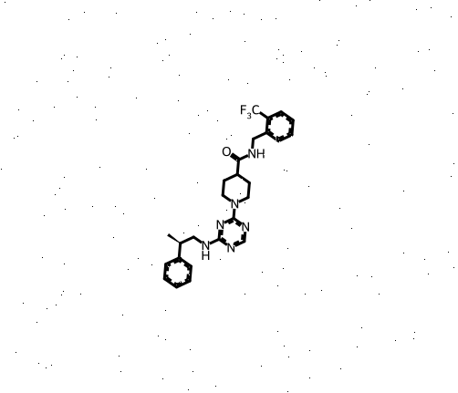 C[C@@H](CNc1ncnc(N2CCC(C(=O)NCc3ccccc3C(F)(F)F)CC2)n1)c1ccccc1